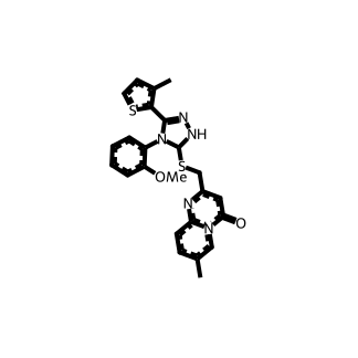 COc1ccccc1N1C(c2sccc2C)=NNC1SCc1cc(=O)n2cc(C)ccc2n1